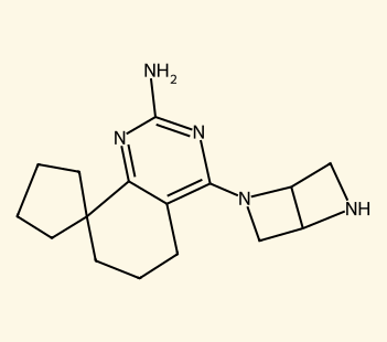 Nc1nc(N2CC3NCC32)c2c(n1)C1(CCCC1)CCC2